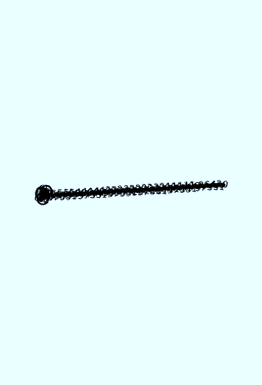 CCCCCCCCCCCCCCCCCCCCCCCCCCCCCCCCCCCCCCCCCCCCCCCCCCCCCCCCCCCCP(=O)(OC)OC